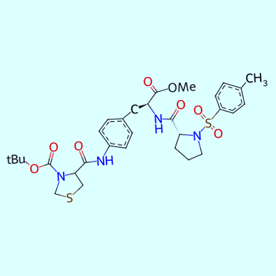 COC(=O)[C@H](Cc1ccc(NC(=O)C2CSCN2C(=O)OC(C)(C)C)cc1)NC(=O)[C@H]1CCCN1S(=O)(=O)c1ccc(C)cc1